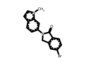 Cn1ccc2ccc(N3Cc4cc(Br)ccc4C3=O)cc21